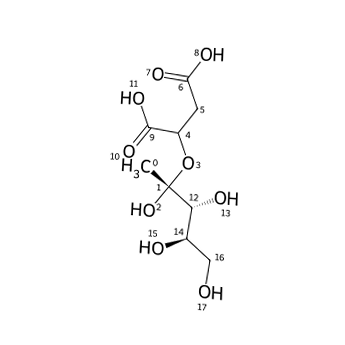 C[C@@](O)(OC(CC(=O)O)C(=O)O)[C@H](O)[C@H](O)CO